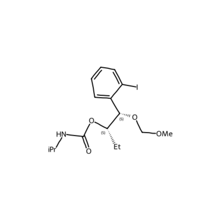 CC[C@H](OC(=O)NC(C)C)[C@@H](OCOC)c1ccccc1I